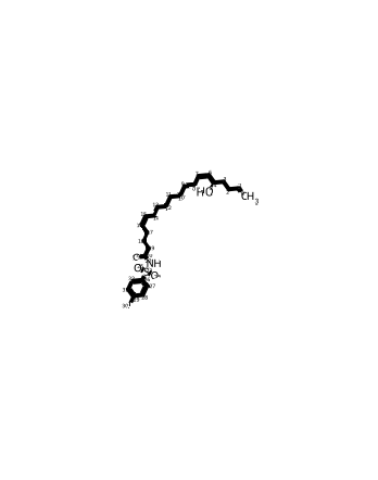 CCCC[C@@H](O)/C=C\CCCCCCC/C=C\CCCC(=O)NS(=O)(=O)c1ccc(I)cc1